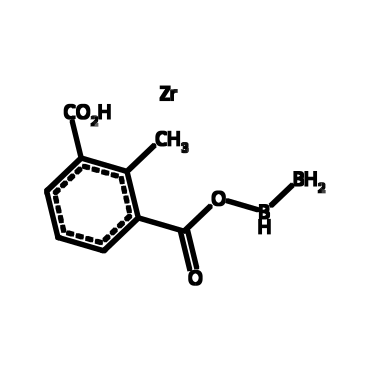 BBOC(=O)c1cccc(C(=O)O)c1C.[Zr]